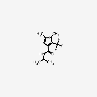 Cc1cc(C(=O)NC(C)C)c(C(F)(F)F)n1C